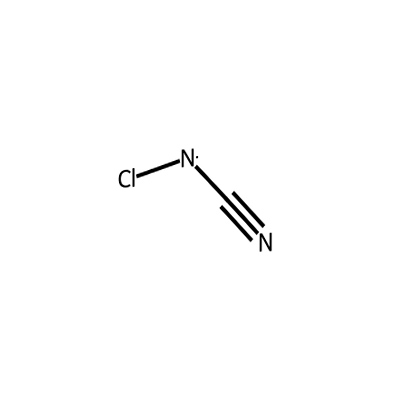 N#C[N]Cl